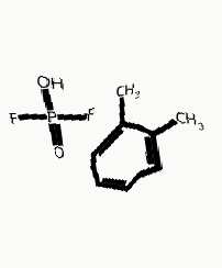 Cc1ccccc1C.O=P(O)(F)F